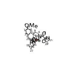 COc1ccc2c(c1)[C@@]13CCN(C(=O)c4ncco4)CC[C@@]1(O)[C@@H](C2)N(CC1CC1)CC3